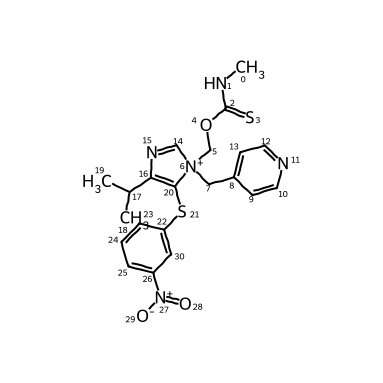 CNC(=S)OC[N+]1(Cc2ccncc2)C=NC(C(C)C)=C1Sc1cccc([N+](=O)[O-])c1